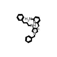 Nc1cccc(C[C@H]2CN(Cc3ccccc3)C[C@H]2NCCCc2ccccc2)n1